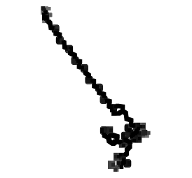 CC(C)[C@H](NC(=O)CCCC1CCN(CCOCCOCCOCCOCCOCCOCCOCCOCCN=[N+]=[N-])CC1)C(=O)N[C@@H](CCCNC(N)=O)C(=O)Nc1ccc(CO)cc1